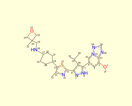 COc1cc(-c2[nH]nc(-c3nc(C)c(C4CCC(NCC5(C)COC5)CC4)s3)c2C(C)C)cn2ncnc12